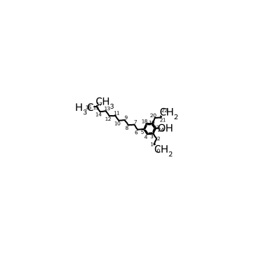 C=CCc1cc(CCCCCCCCCC(C)C)cc(CC=C)c1O